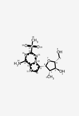 C[C@H]1[C@H](O)[C@@H](CO)O[C@H]1c1cnc2c(N)nc(S(C)(=O)=O)nn12